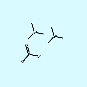 C[S+](C)C.C[S+](C)C.O=[P]([O-])[O-]